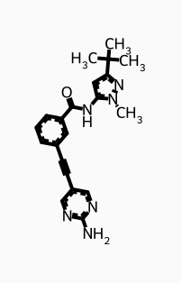 Cn1nc(C(C)(C)C)cc1NC(=O)c1cccc(C#Cc2cnc(N)nc2)c1